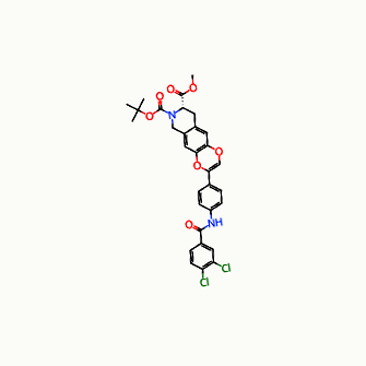 COC(=O)[C@@H]1Cc2cc3c(cc2CN1C(=O)OC(C)(C)C)OC(c1ccc(NC(=O)c2ccc(Cl)c(Cl)c2)cc1)=CO3